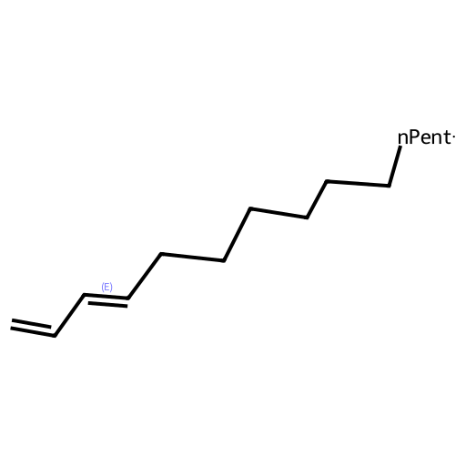 C=C/C=C/CCCCCC[CH]CCCC